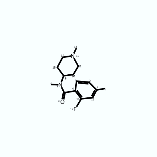 Cc1ccc(C(=O)N(C)C2CCN(C)CC2)c(F)c1